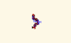 CC(c1ccnc(Nc2nc3ccc(-c4cc(N5CCOCC5)ncn4)cc3[nH]2)c1)N1CCN(C(=O)C2CC2)CC1